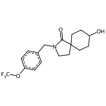 O=C1N(Cc2ccc(OC(F)(F)F)cc2)CCC12CCC(O)CC2